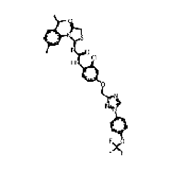 Cc1ccc(C(C)C)c(N2C(=O)CS/C2=N\C(=O)Nc2ccc(OCc3ncn(-c4ccc(OC(F)(F)F)cc4)n3)cc2Cl)c1